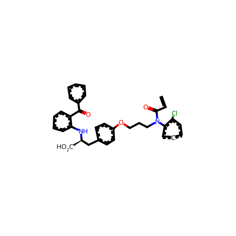 C=CC(=O)N(CCCOc1ccc(C[C@H](Nc2ccccc2C(=O)c2ccccc2)C(=O)O)cc1)c1ccccc1Cl